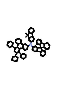 CC1(C)c2ccccc2-c2ccc(N(c3ccc4c(c3)C3(c5ccccc5-c5ccccc53)c3ccccc3-4)c3ccc4c(c3)c3ccccc3c3c(-c5ccccc5)cc(-c5ccccc5)c(-c5ccccc5)c43)cc21